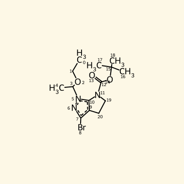 CCOC(C)n1nc(Br)c2c1N(C(=O)OC(C)(C)C)CC2